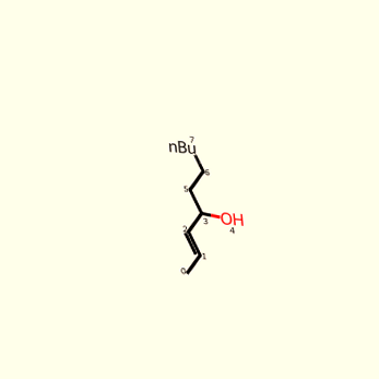 CC=CC(O)CCCCCC